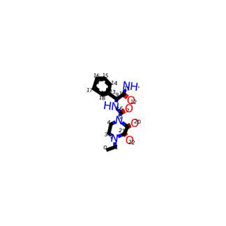 CCN1CCN(C(=O)NC(C([NH])=O)c2ccccc2)C(=O)C1=O